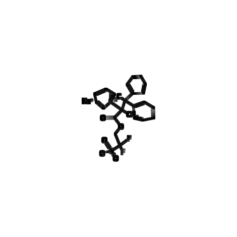 CC(C(=O)OCC(F)(F)S(=O)(=O)[O-])(c1ccccc1)C(C)(c1ccccc1)c1ccccc1.[Na+]